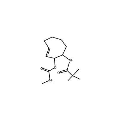 CNC(=O)OC1/C=C/CCCCC1NC(=O)C(C)(C)C